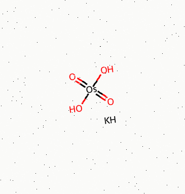 [KH].[O]=[Os](=[O])([OH])[OH]